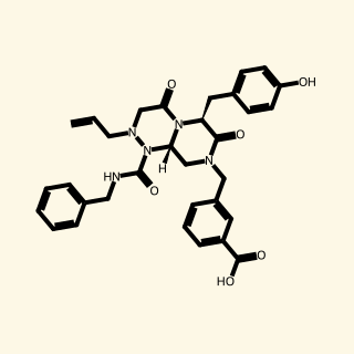 C=CCN1CC(=O)N2[C@@H](Cc3ccc(O)cc3)C(=O)N(Cc3cccc(C(=O)O)c3)C[C@@H]2N1C(=O)NCc1ccccc1